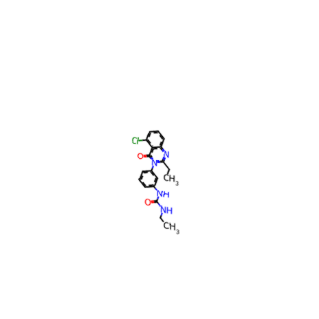 CCNC(=O)Nc1cccc(-n2c(CC)nc3cccc(Cl)c3c2=O)c1